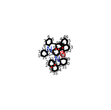 c1ccc(-c2ccccc2N(c2ccccc2)c2cc(N(c3ccccc3)c3ccccc3-c3ccccc3)c3oc4ccc5ccccc5c4c3c2)cc1